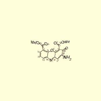 COC(=O)c1c2oc3c(C(=O)OC)cccc3nc-2cc(N)c1=O